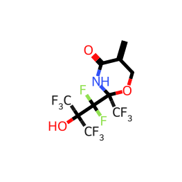 C=C1COC(C(F)(F)F)(C(F)(F)C(O)(C(F)(F)F)C(F)(F)F)NC1=O